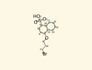 O=S(=O)(O)c1ccc(OCCCBr)c2ccccc12